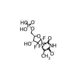 Cc1cn([C@]2(F)O[C@H](COP(=O)(O)O)[C@@H](O)C2(F)F)c(=O)[nH]c1=O